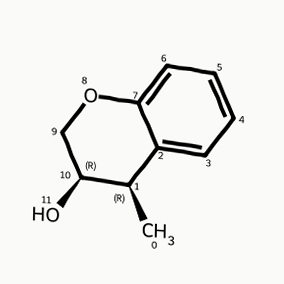 C[C@@H]1c2ccccc2OC[C@@H]1O